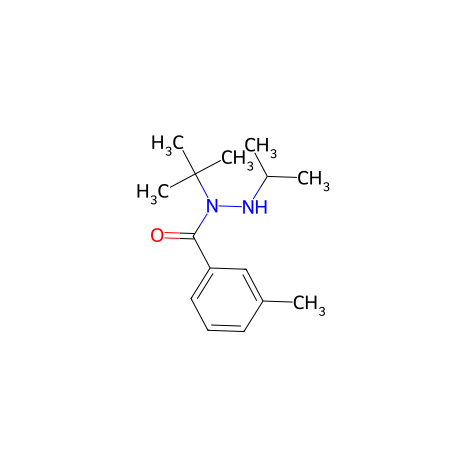 Cc1cccc(C(=O)N(NC(C)C)C(C)(C)C)c1